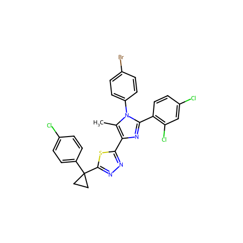 Cc1c(-c2nnc(C3(c4ccc(Cl)cc4)CC3)s2)nc(-c2ccc(Cl)cc2Cl)n1-c1ccc(Br)cc1